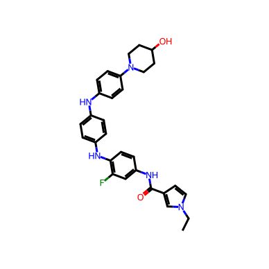 CCn1ccc(C(=O)Nc2ccc(Nc3ccc(Nc4ccc(N5CCC(O)CC5)cc4)cc3)c(F)c2)c1